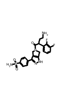 NCCC(C(=O)N1Cc2[nH]nc(-c3ccc(S(N)(=O)=O)cc3)c2C1)c1cccc(F)c1F